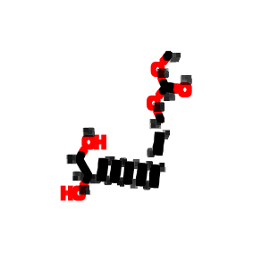 C=C.C=C.C=C.C=C.C=C.C=C.COC(=O)OC.OCCO